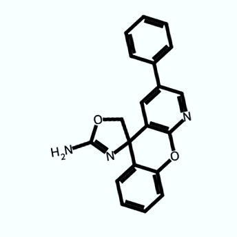 NC1=NC2(CO1)c1ccccc1Oc1ncc(-c3ccccc3)cc12